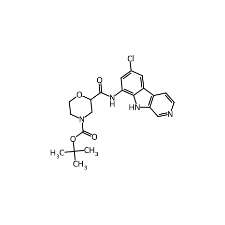 CC(C)(C)OC(=O)N1CCOC(C(=O)Nc2cc(Cl)cc3c2[nH]c2cnccc23)C1